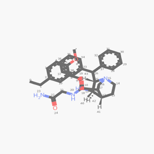 CCc1ccc(OC)c(CN[C@H]2[C@H]3CCN(C[C@@H]3C(=O)NCC(N)=O)[C@H]2C(c2ccccc2)c2ccccc2)c1